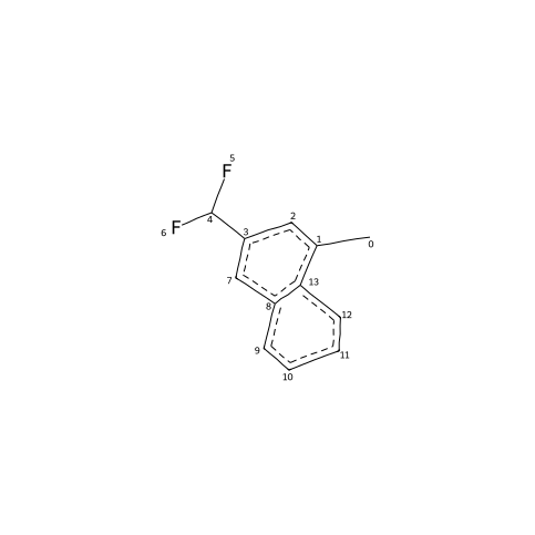 Cc1cc(C(F)F)cc2ccccc12